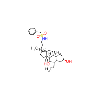 CC[C@@H]1C2C[C@H](O)CCC2(C)C2CCC3(C)C([C@H](C)CCNS(=O)(=O)Cc4ccccc4)CC[C@H]3[C@@H]2[C@@H]1O